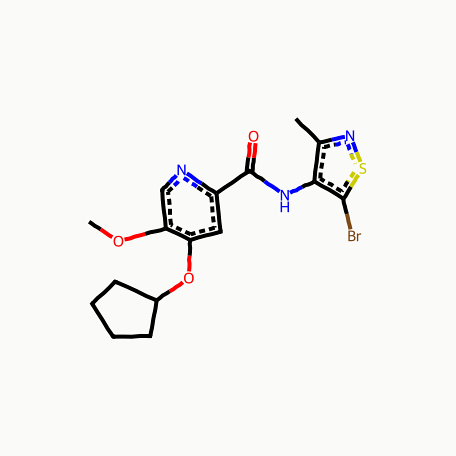 COc1cnc(C(=O)Nc2c(C)nsc2Br)cc1OC1CCCC1